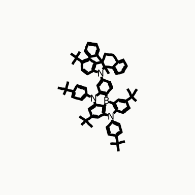 CC(C)(C)c1ccc(N2c3ccc(C(C)(C)C)cc3B3c4ccc(N5c6ccc(C(C)(C)C)cc6C6(c7ccccc7)CCc7ccccc7C56C)cc4N(c4ccc(C(C)(C)C)cc4)c4cc(C(C)(C)C)cc2c43)cc1